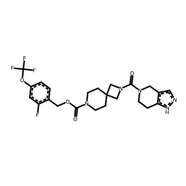 O=C(OCc1ccc(OC(F)(F)F)cc1F)N1CCC2(CC1)CN(C(=O)N1CCc3[nH]ncc3C1)C2